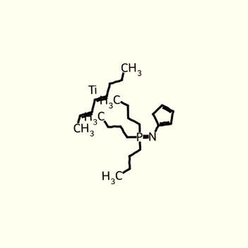 CC=CC=CCCC.CCCCP(CCCC)(CCCC)=NC1=CC=CC1.[Ti]